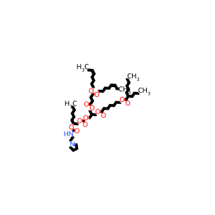 CC/C=C\CCCCOC(CCC(=O)OCC(COC(=O)CCCCCCOC(=O)C(CCCC)CCCCCC)COC(=O)OCC(CCCCCC)OC(=O)NCCN1CCCC1)OCCCC/C=C\CC